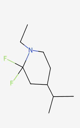 CCN1CCC(C(C)C)CC1(F)F